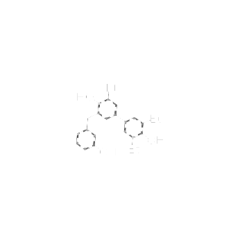 CCc1cc(-c2cc(CC)c(O)c(Cc3cccc(O)c3)c2)cc(CC)c1O